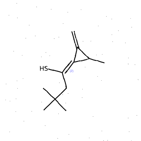 C=C1/C(=C(\S)CC(C)(C)C)C1C